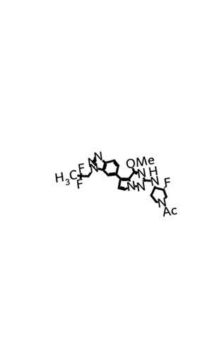 COc1nc(N[C@H]2CCN(C(C)=O)C[C@H]2F)nn2ccc(-c3ccc4nnn(CC(C)(F)F)c4c3)c12